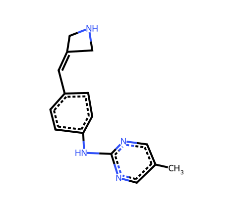 Cc1cnc(Nc2ccc(C=C3CNC3)cc2)nc1